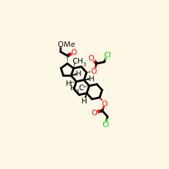 COCC(=O)[C@H]1CC[C@H]2[C@@H]3CC[C@H]4C[C@H](OC(=O)CCl)CC[C@]4(C)[C@H]3[C@@H](OC(=O)CCl)C[C@]12C